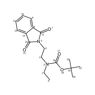 CCN(CCN1C(=O)c2ccccc2C1=O)C(=O)OC(C)(C)C